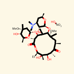 CC[C@H]1OC(=O)[C@H](C)[C@@H](O[C@H]2C[C@@](C)(OC)[C@@H](O)[C@H](C)O2)C(C)[C@@H](O[C@@H]2O[C@H](C)C[C@H](N(C)C)[C@H]2O)[C@](C)(OC)C[C@@H](C)C(=O)[C@H](C)[C@@H](O)[C@]1(C)O.O=[N+]([O-])O